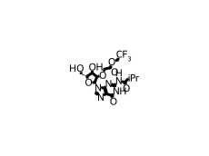 CC(C)C(=O)Nc1nc2c(ncn2[C@@H]2O[C@H](CO)C(O)C2OCC(=O)OCC(F)(F)F)c(=O)[nH]1